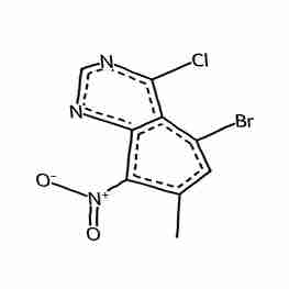 Cc1cc(Br)c2c(Cl)ncnc2c1[N+](=O)[O-]